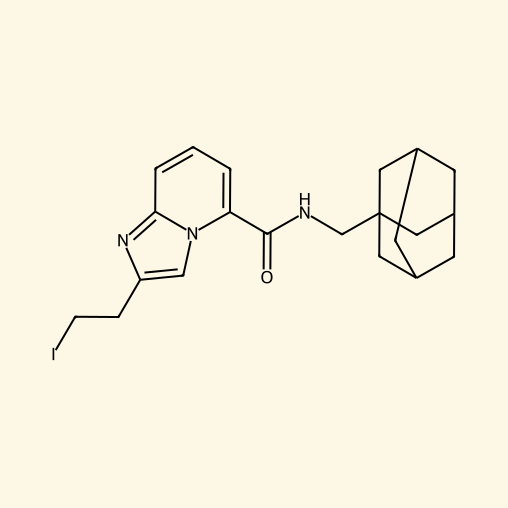 O=C(NCC12CC3CC(CC(C3)C1)C2)c1cccc2nc(CCI)cn12